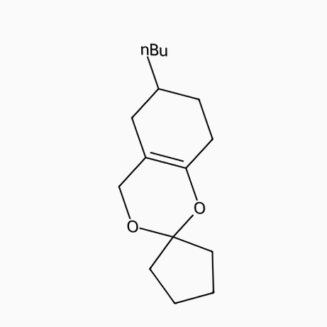 CCCCC1CCC2=C(COC3(CCCC3)O2)C1